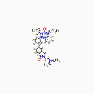 CN(C)CCN1Cc2cc(-c3ccc(CC(C=O)N(N)C(=O)N(C(=O)O)C4CCCCC4)cc3)ccc2C1=O